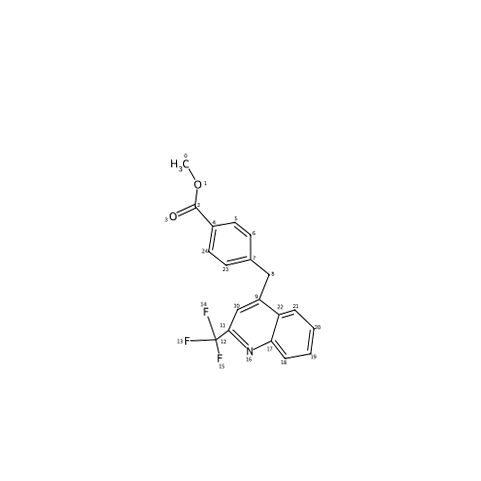 COC(=O)c1ccc(Cc2cc(C(F)(F)F)nc3ccccc23)cc1